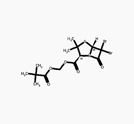 CC(C)(C)C(=O)OCOC(=O)[C@@H]1N2C(=O)C(Br)(Br)[C@H]2SC1(C)C